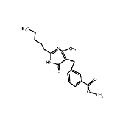 CCCCCc1nc(C)c(Cc2cccc(C(=O)OC)c2)c(=O)[nH]1